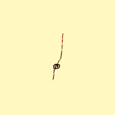 CCCCCCCCCCCCCCCCCCCCCCCCCCCCCCCCCCCC(=O)OCCCCCCCCCCCCCCCC